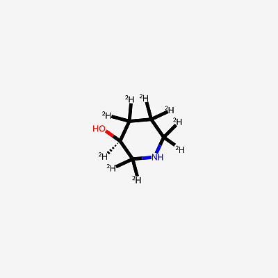 [2H]C1([2H])NC([2H])([2H])[C@@]([2H])(O)C([2H])([2H])C1([2H])[2H]